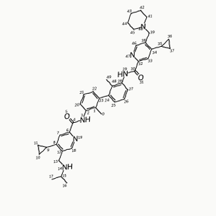 Cc1c(NC(=O)c2cc(C3CC3)c(CNC(C)C)cn2)cccc1-c1cccc(NC(=O)c2cc(C3CC3)c(CN3CCCCC3)cn2)c1C